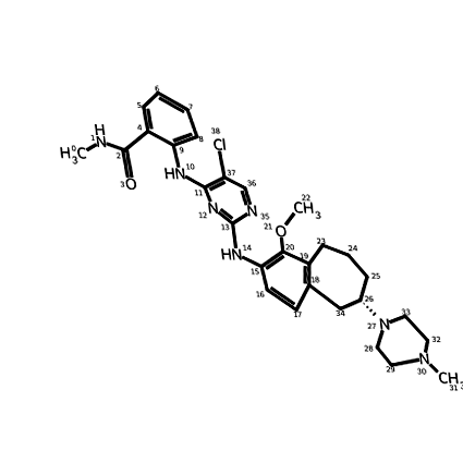 CNC(=O)c1ccccc1Nc1nc(Nc2ccc3c(c2OC)CCC[C@H](N2CCN(C)CC2)C3)ncc1Cl